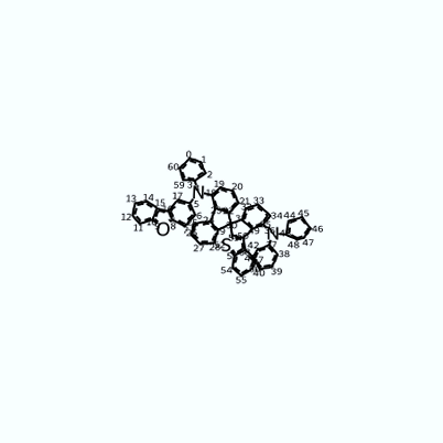 c1ccc(N(c2ccc3oc4ccccc4c3c2)c2cccc3c2-c2ccccc2C32c3cccc(N(c4ccccc4)c4ccccc4)c3-c3c2sc2ccccc32)cc1